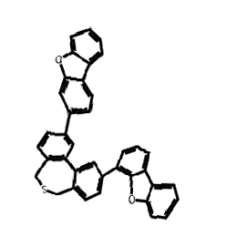 c1ccc2c(c1)oc1cc(-c3ccc4c(c3)-c3cc(-c5cccc6c5oc5ccccc56)ccc3CSC4)ccc12